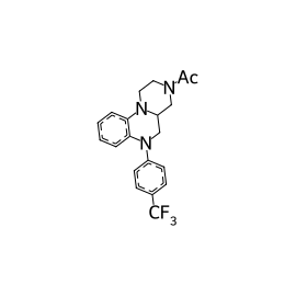 CC(=O)N1CCN2c3ccccc3N(c3ccc(C(F)(F)F)cc3)CC2C1